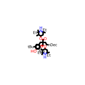 CCCCCCCCCCCCC(Cc1cc(C(C)(C)C)c(O)c(C(C)(C)C)c1)(C(=O)OC1CC(C)(CC)NC(C)(CC)C1C)C(=O)OC1CC(C)(CC)NC(C)(CC)C1C